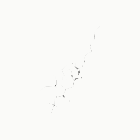 CCCCCC[C@H](C)c1noc(CC(C(=O)OC(C)(C)C)P(=O)(OCC)OCC)n1